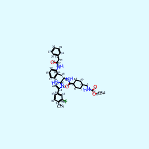 CC(C)(C)OC(=O)NCC1CCC(C(=O)N[C@@H](Cc2ccccc2NC(=O)Cc2ccccc2)c2nc(-c3ccc(C#N)c(F)c3)c[nH]2)CC1